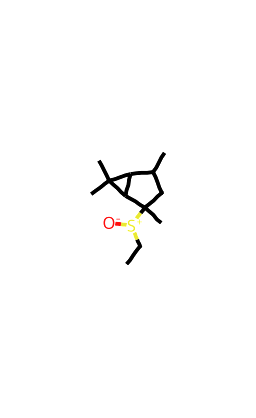 CC[S+]([O-])C1(C)CC(C)C2C1C2(C)C